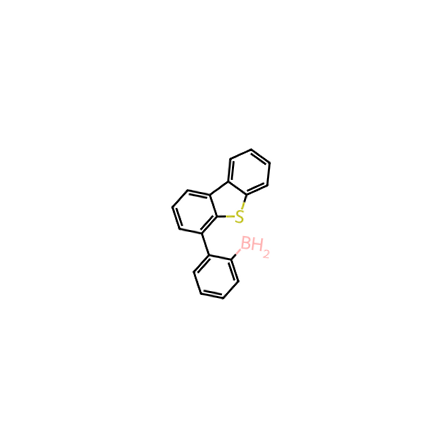 Bc1ccccc1-c1cccc2c1sc1ccccc12